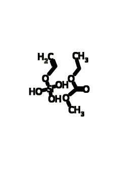 C=CO[Si](O)(O)O.CCOC(=O)OC